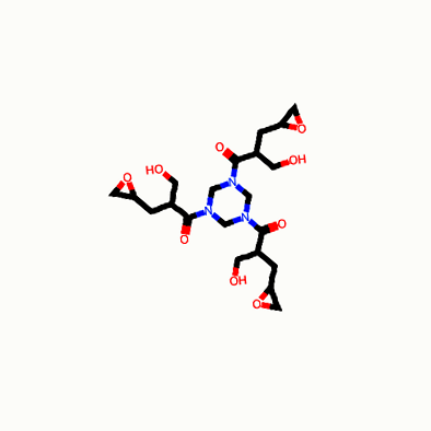 O=C(C(CO)CC1CO1)N1CN(C(=O)C(CO)CC2CO2)CN(C(=O)C(CO)CC2CO2)C1